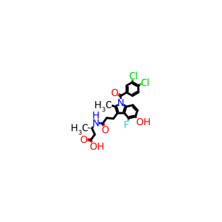 Cc1c(CCC(=O)N[C@@H](C)CC(=O)O)c2c(F)c(O)ccc2n1C(=O)c1ccc(Cl)c(Cl)c1